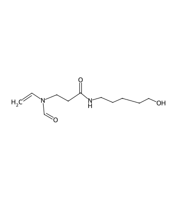 C=CN(C=O)CCC(=O)NCCCCCO